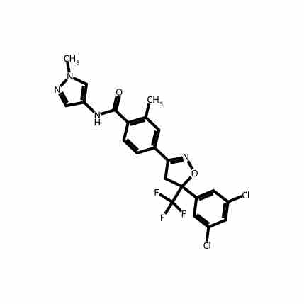 Cc1cc(C2=NOC(c3cc(Cl)cc(Cl)c3)(C(F)(F)F)C2)ccc1C(=O)Nc1cnn(C)c1